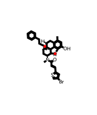 Cc1cc(O)c2c3c1C[C@@H]1[C@@H]4CC[C@H](N(C)C(=O)/C=C/c5cc(Br)cs5)[C@H](O2)[C@]34CCN1CCc1ccccc1